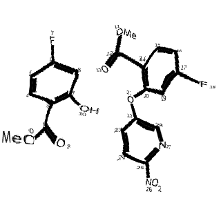 COC(=O)c1ccc(F)cc1O.COC(=O)c1ccc(F)cc1Oc1ccc([N+](=O)[O-])nc1